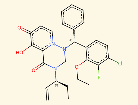 C=C[C@H](CC)N1CN([C@H](c2ccccc2)c2ccc(Cl)c(F)c2OCC)n2ccc(=O)c(O)c2C1=O